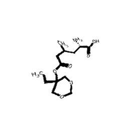 CCC1(OC(=O)CC(C)C[C@H](N)C(=O)O)COCOC1